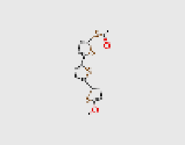 COc1ccc(-c2ccc(-c3ccc(SC(C)=O)s3)s2)s1